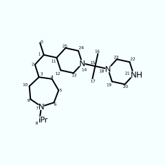 CC(CC1CCCN(C(C)C)CC1)C1CCN(C(C)(C)N2CCNCC2)CC1